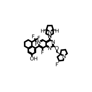 Oc1cc2c(c(-c3ncc4c(N5C[C@H]6CC[C@@H](C5)N6)nc(OC[C@@]56CCCN5C[C@H](F)C6)nc4c3F)c1)C(C(F)(F)F)CCC2